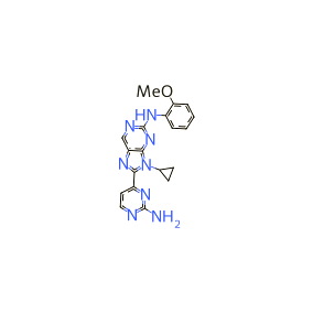 COc1ccccc1Nc1ncc2nc(-c3ccnc(N)n3)n(C3CC3)c2n1